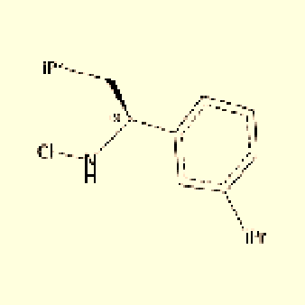 CC(C)C[C@H](NCl)c1cccc(C(C)C)c1